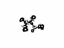 c1ccc(-c2cc(-c3cnc4ccccc4c3)nc(-c3cc(-c4nc(-c5ccccc5)cc(-c5cnc6ccccc6c5)n4)cc(-c4nc5ccccc5o4)c3)n2)cc1